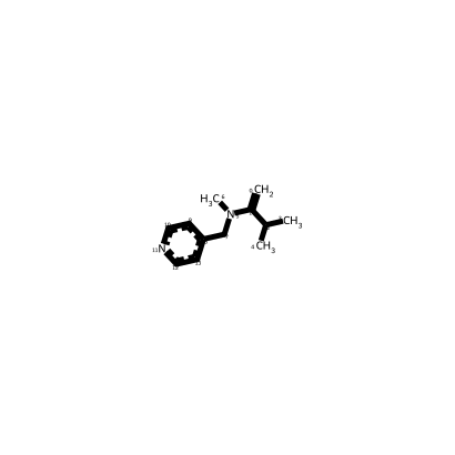 C=C(C(C)C)N(C)Cc1ccncc1